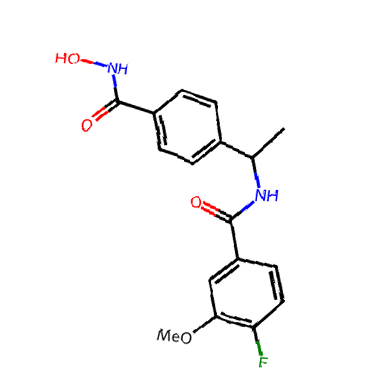 COc1cc(C(=O)NC(C)c2ccc(C(=O)NO)cc2)ccc1F